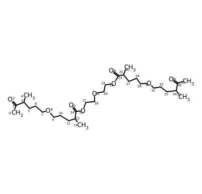 CC(=O)C(C)CCCOCCCC(C)C(=O)OCCOCCOC(=O)C(C)CCCOCCCC(C)C(C)=O